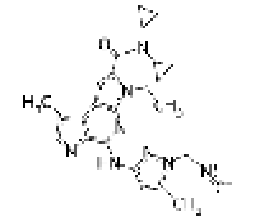 [C-]#[N+]Cn1nc(Nc2nc3c(cc(C(=O)N(C4CC4)C4CC4)n3CC)c3c2ncn3C)cc1C